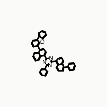 c1ccc(-c2nc(-c3cccc4c(-c5ccccc5)cccc34)nc(-c3ccc(-c4cccc5c4oc4ccccc45)c4ccccc34)n2)cc1